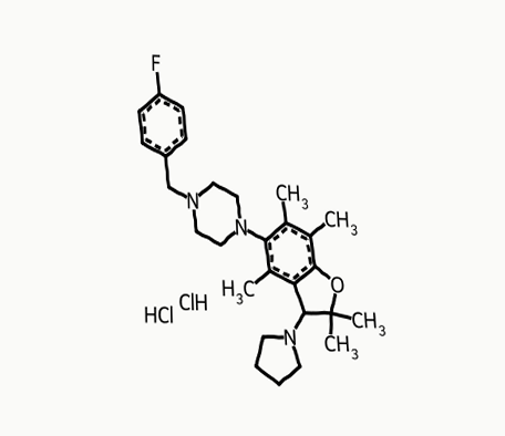 Cc1c(C)c(N2CCN(Cc3ccc(F)cc3)CC2)c(C)c2c1OC(C)(C)C2N1CCCC1.Cl.Cl